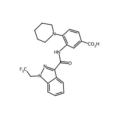 O=C(O)c1ccc(N2CCCCC2)c(NC(=O)c2nn(CC(F)(F)F)c3ccccc23)c1